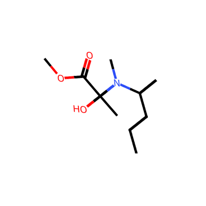 CCCC(C)N(C)C(C)(O)C(=O)OC